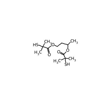 CC(CCOC(=O)C(C)(C)S)OC(=O)C(C)(C)S